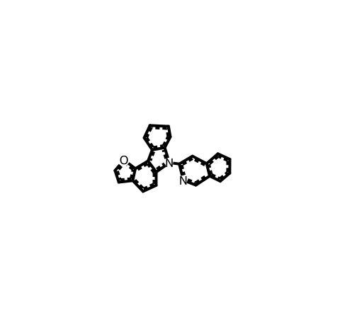 c1ccc2cc(-n3c4ccccc4c4c5occc5ccc43)ncc2c1